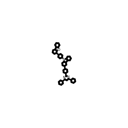 c1ccc(-c2cc(-c3ccccc3)nc(-c3ccc(-c4ccc5c(c4)c4ccccc4n5-c4ccc(-c5cccc6c5oc5ccccc56)cc4)cc3)n2)cc1